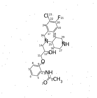 CC(=O)Nc1ccccc1OCC(O)CN(Cc1ccc(F)c(Cl)c1)C1CCNCC1